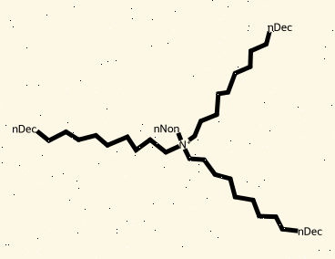 CCCCCCCCCCCCCCCCCCC[N+](CCCCCCCCC)(CCCCCCCCCCCCCCCCCCC)CCCCCCCCCCCCCCCCCCC